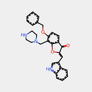 O=C1C(=Cc2c[nH]c3ccccc23)Oc2c1ccc(OCc1ccccc1)c2CN1CCNCC1